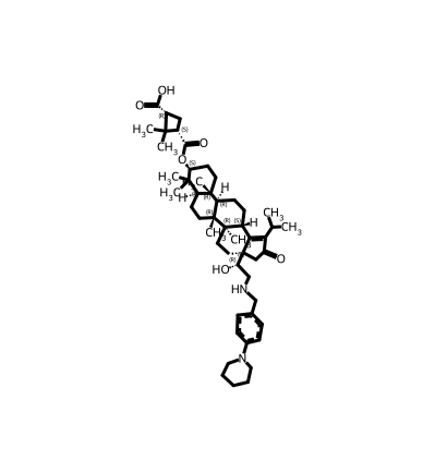 CC(C)C1=C2[C@H]3CC[C@@H]4[C@@]5(C)CC[C@H](OC(=O)[C@H]6C[C@@H](C(=O)O)C6(C)C)C(C)(C)[C@@H]5CC[C@@]4(C)[C@]3(C)CC[C@@]2([C@@H](O)CNCc2ccc(N3CCCCC3)cc2)CC1=O